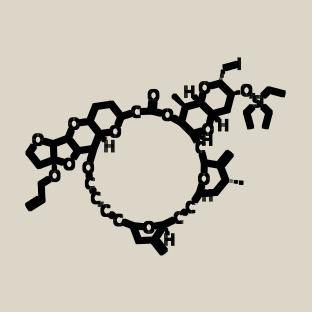 C=CCO[C@@]12CCOC1C1OC3CCC4CC(=O)OC5[C@H](CC6O[C@@H](CC[C@@H]7OC(CCCCOC(C1O2)[C@H]3O4)CC7=C)C[C@@H](C)C6=C)O[C@H]1C[C@@H](O[Si](CC)(CC)CC)[C@@H](CI)O[C@H]1[C@@H]5C